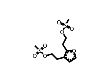 CS(=O)(=O)OCCc1ccoc1CCOS(C)(=O)=O